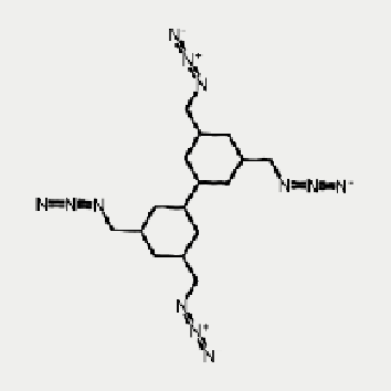 [N-]=[N+]=NCC1CC(CN=[N+]=[N-])CC(C2CC(CN=[N+]=[N-])CC(CN=[N+]=[N-])C2)C1